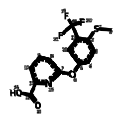 CSc1ccc(Oc2cccc(C(=O)O)n2)cc1C(F)(F)F